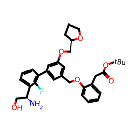 CC(C)(C)OC(=O)Cc1ccccc1OCc1cc(OC[C@H]2CCCO2)cc(-c2cccc([C@H](N)CO)c2F)c1